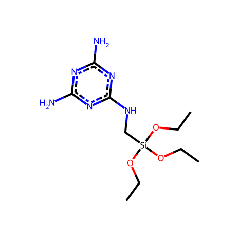 CCO[Si](CNc1nc(N)nc(N)n1)(OCC)OCC